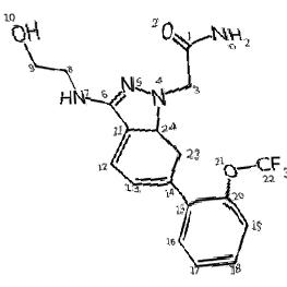 NC(=O)CN1N=C(NCCO)C2=CC=C(c3ccccc3OC(F)(F)F)CC21